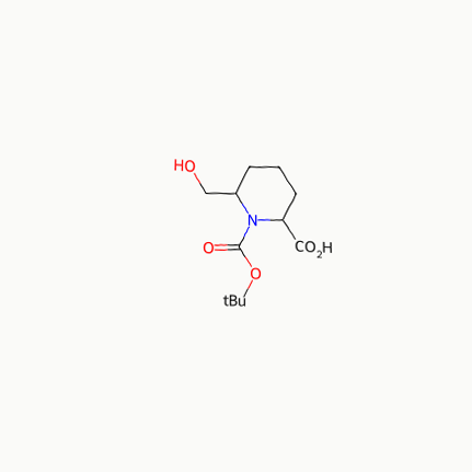 CC(C)(C)OC(=O)N1C(CO)CCCC1C(=O)O